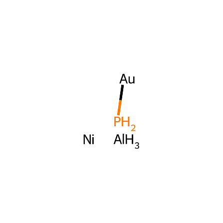 [AlH3].[Ni].[PH2][Au]